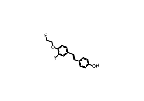 Oc1ccc(/C=C/c2ccc(OCCF)c(I)c2)cc1